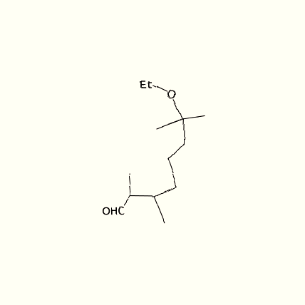 CCOC(C)(C)CCCC(C)C(C)C=O